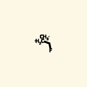 [CH2]CF.[CH3]